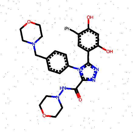 CC(C)c1cc(-c2nnc(C(=O)NN3CCOCC3)n2-c2ccc(CN3CCOCC3)cc2)c(O)cc1O